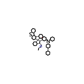 C=C/C=C\C1=C(c2cccc(N(c3ccccc3)c3ccc(-c4ccccc4)cc3)c2)C2(c3ccccc31)c1ccccc1-c1c2ccc2sc3ccccc3c12